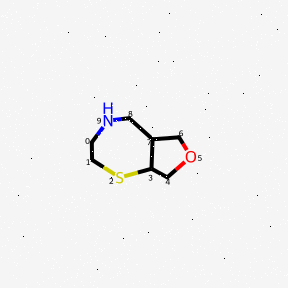 C1CSC2COCC2CN1